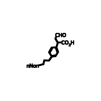 CCCCCCCCCCCCc1ccc(C(CC=O)C(=O)O)cc1